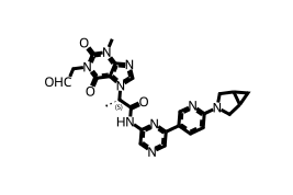 C[C@@H](C(=O)Nc1cncc(-c2ccc(N3CC4CC4C3)nc2)n1)n1cnc2c1c(=O)n(CC=O)c(=O)n2C